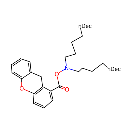 CCCCCCCCCCCCCCN(CCCCCCCCCCCCCC)OC(=O)c1cccc2c1Cc1ccccc1O2